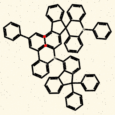 c1ccc(-c2cccc(-c3ccccc3N(c3ccc4c(c3)C3(c5ccccc5-4)c4ccccc4N(c4ccccc4)c4ccccc43)c3cccc4c3-c3ccccc3C4(c3ccccc3)c3ccccc3)c2)cc1